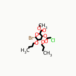 CCCCOC1[C@H](Br)OC(C(=O)OC)[C@@H](OC(=O)CCl)[C@@H]1OCCCC